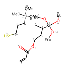 C=CC(=O)OCCC(C)[Si](OCC)(OCC)OCC.CO[Si](CCCS)(OC)OC